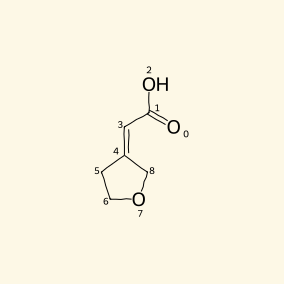 O=C(O)C=C1CCOC1